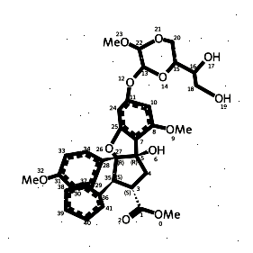 COC(=O)[C@H]1C[C@@]2(O)c3c(OC)cc(OC4OC(C(O)CO)COC4OC)cc3O[C@@]2(c2ccc(OC)cc2)[C@@H]1c1ccccc1